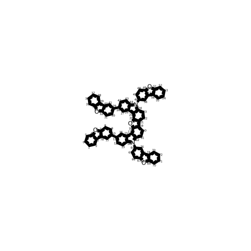 c1ccc2c(c1)oc1ccc(-c3ccc4c(c3)c3c5oc6c(ccc7c6c6cc(-c8ccc9oc%10ccccc%10c9c8)ccc6n7-c6ccc7oc8ccccc8c7c6)c5ccc3n4-c3ccc4oc5ccccc5c4c3)cc12